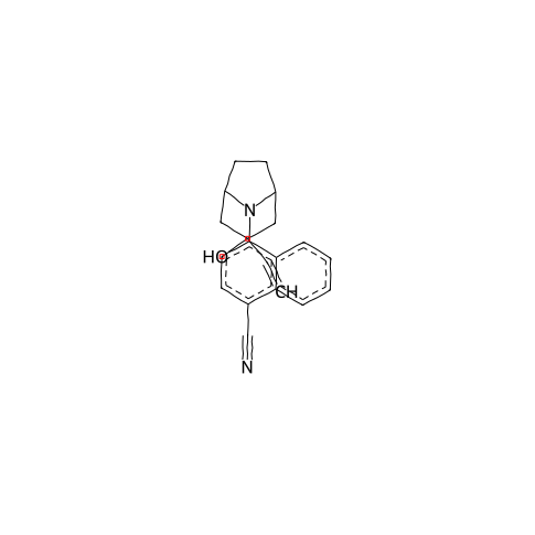 C#CC1(O)CC2CCC(C1)N2c1ccc(C#N)c2ccccc12